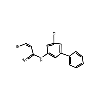 C=C(/C=C\CC)Nc1cc(Cl)cc(-c2ccccc2)c1